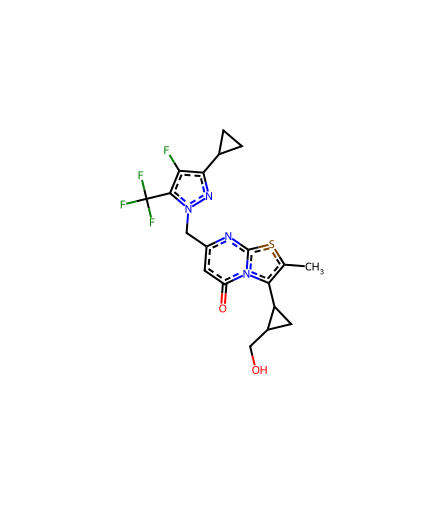 Cc1sc2nc(Cn3nc(C4CC4)c(F)c3C(F)(F)F)cc(=O)n2c1C1CC1CO